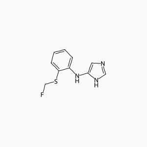 FCSc1ccccc1Nc1cnc[nH]1